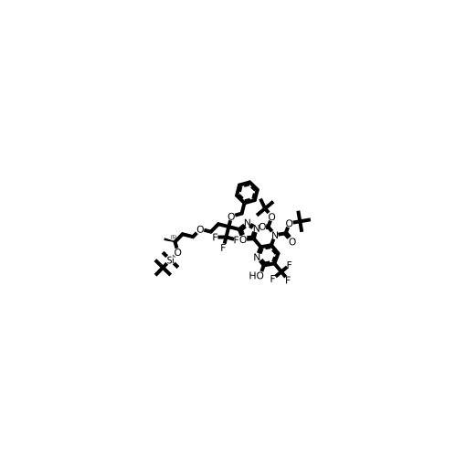 C[C@@H](CCOCCC(OCc1ccccc1)(c1nnc(-c2nc(O)c(C(F)(F)F)cc2N(C(=O)OC(C)(C)C)C(=O)OC(C)(C)C)o1)C(F)(F)F)O[Si](C)(C)C(C)(C)C